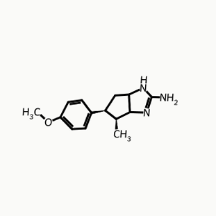 COc1ccc([C@H]2CC3NC(N)=NC3[C@H]2C)cc1